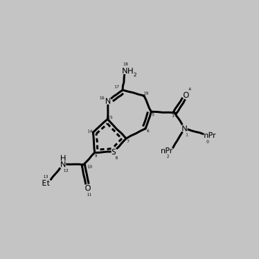 CCCN(CCC)C(=O)C1=Cc2sc(C(=O)NCC)cc2N=C(N)C1